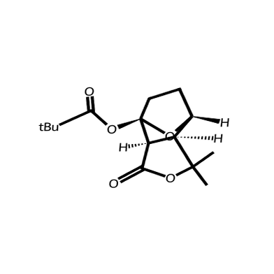 CC(C)(C)C(=O)O[C@@]12CC[C@@H](O1)[C@@H]1[C@H]2C(=O)OC1(C)C